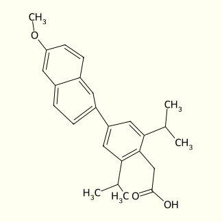 COc1ccc2cc(-c3cc(C(C)C)c(CC(=O)O)c(C(C)C)c3)ccc2c1